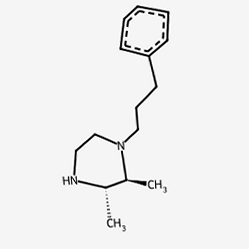 C[C@@H]1NCCN(CCCc2ccccc2)[C@H]1C